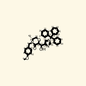 COc1ccc(CN2C(=O)C(C(O)c3cn(C(c4ccccc4)(c4ccccc4)c4ccccc4)cn3)OC[C@H]2C)cc1